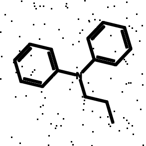 CC[CH]N(c1ccccc1)c1ccccc1